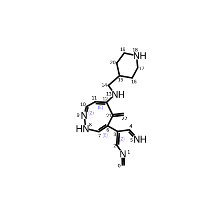 C=N/C=C(C=N)/C1=C/N/N=C\C=C(\NCC2CCNCC2)C1=C